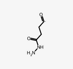 NNC(=O)CC[C]=O